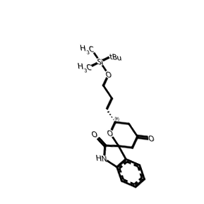 CC(C)(C)[Si](C)(C)OCCC[C@@H]1CC(=O)CC2(O1)C(=O)Nc1ccccc12